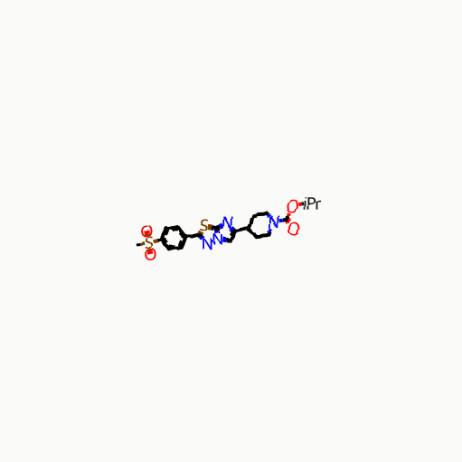 CC(C)OC(=O)N1CCC(c2cn3nc(-c4ccc(S(C)(=O)=O)cc4)sc3n2)CC1